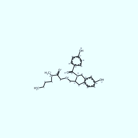 CCCCN(C)C(=O)COCC1Cc2ccc(O)cc2CN1C(=O)c1ccc(O)cc1